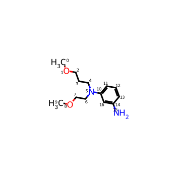 COCCCN(CCOC)c1cccc(N)c1